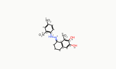 O=[N+]([O-])c1ccc(NN=C2CCCc3cc(O)c(O)c([N+](=O)[O-])c32)c([N+](=O)[O-])c1